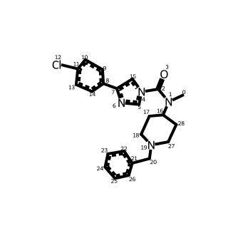 CN(C(=O)n1cnc(-c2ccc(Cl)cc2)c1)C1CCN(Cc2ccccc2)CC1